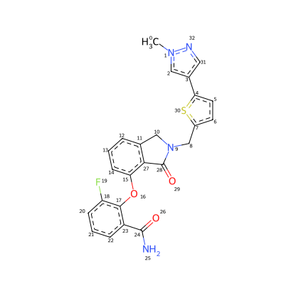 Cn1cc(-c2ccc(CN3Cc4cccc(Oc5c(F)cccc5C(N)=O)c4C3=O)s2)cn1